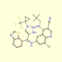 CC(C)(C)CNc1c(C#N)cnc2c(Cl)cc(N[C@H](C3=CN(C4(C(F)(F)F)CC4)NN3)c3cccc4ncsc34)cc12